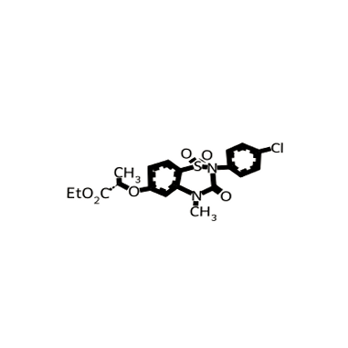 CCOC(=O)[C@H](C)Oc1ccc2c(c1)N(C)C(=O)N(c1ccc(Cl)cc1)S2(=O)=O